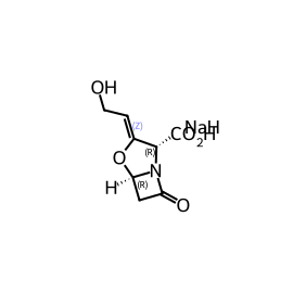 O=C(O)[C@H]1/C(=C/CO)O[C@@H]2CC(=O)N21.[NaH]